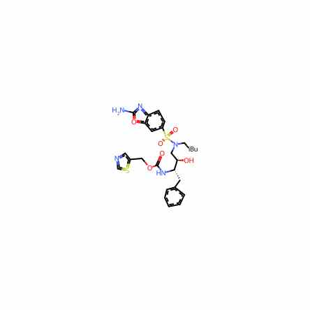 CCC(C)CN(C[C@@H](O)[C@H](Cc1ccccc1)NC(=O)OCc1cncs1)S(=O)(=O)c1ccc2nc(N)oc2c1